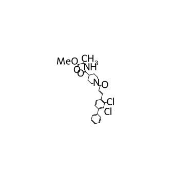 COC(=O)[C@H](C)NC(=O)C1CCN(C(=O)/C=C/c2ccc(-c3ccccc3)c(Cl)c2Cl)CC1